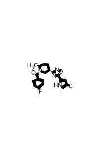 C[C@@H]1CC[C@H](c2noc(-c3cc(Cl)c[nH]3)n2)CN1C(=O)c1ccc(F)cc1